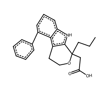 CCCC1(CC(=O)O)OCCc2c1[nH]c1cccc(-c3ccccc3)c21